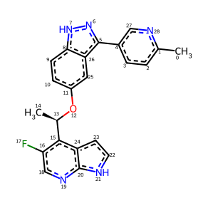 Cc1ccc(-c2n[nH]c3ccc(O[C@H](C)c4c(F)cnc5[nH]ccc45)cc23)cn1